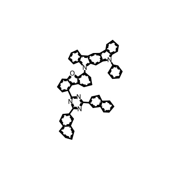 c1ccc(-n2c3ccccc3c3cc4c5ccccc5n(-c5cccc6c5oc5cccc(-c7nc(-c8ccc9ccccc9c8)nc(-c8ccc9ccccc9c8)n7)c56)c4cc32)cc1